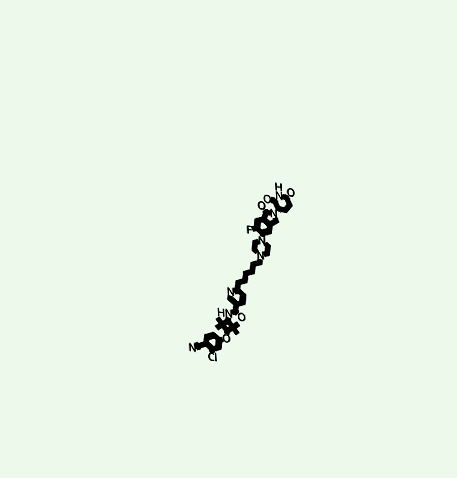 CC1(C)C(NC(=O)c2ccc(CCCCCCN3CCN(c4cc5c(cc4F)C(=O)N([C@H]4CCC(=O)NC4=O)C5)CC3)nc2)C(C)(C)C1Oc1ccc(C#N)c(Cl)c1